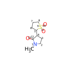 CN1CCC(C2CCCS2(=O)=O)C1=O